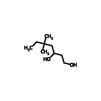 CCC(C)(C)CC(O)CCO